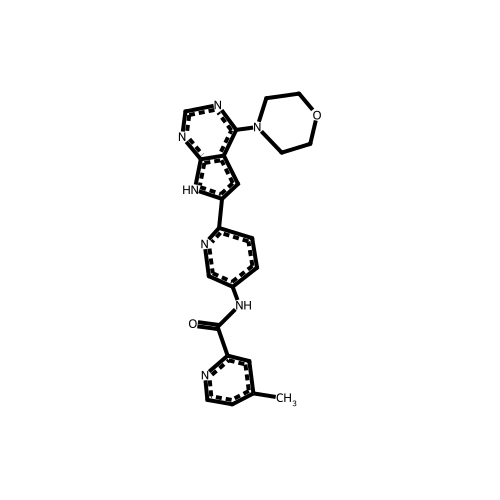 Cc1ccnc(C(=O)Nc2ccc(-c3cc4c(N5CCOCC5)ncnc4[nH]3)nc2)c1